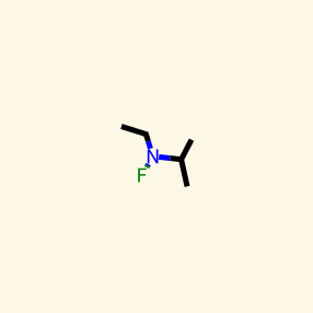 CCN(F)C(C)C